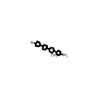 Bc1ccc(C2=CC=C(c3ccc(-c4ccc(Br)cc4)cc3)CC2C)cc1